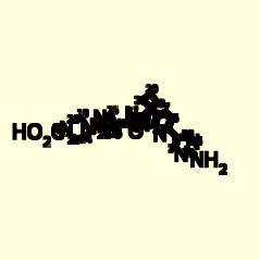 Nc1ncc(-c2ccc(C3(c4noc(-c5cnc(N6CCN(C(=O)O)CC6)cn5)n4)CCC3)cn2)cn1